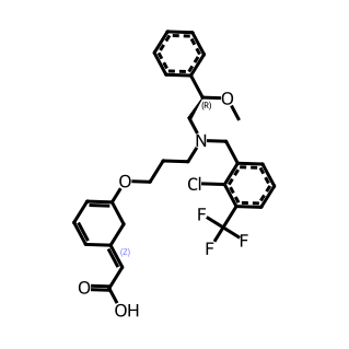 CO[C@@H](CN(CCCOC1=CC=C/C(=C\C(=O)O)C1)Cc1cccc(C(F)(F)F)c1Cl)c1ccccc1